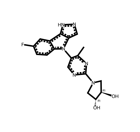 Cc1nc(N2C[C@@H](O)[C@H](O)C2)ncc1-n1c2ccc(F)cc2c2[nH]ncc21